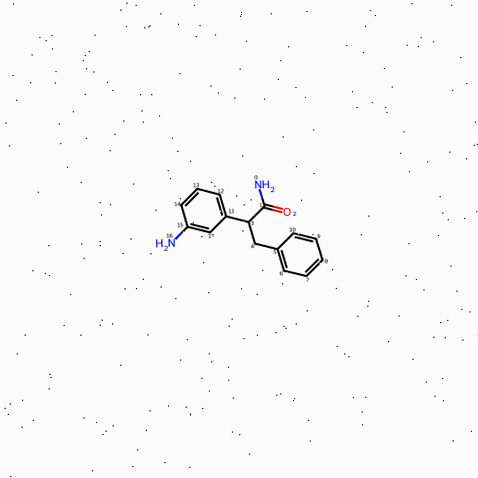 NC(=O)C(Cc1ccccc1)c1cccc(N)c1